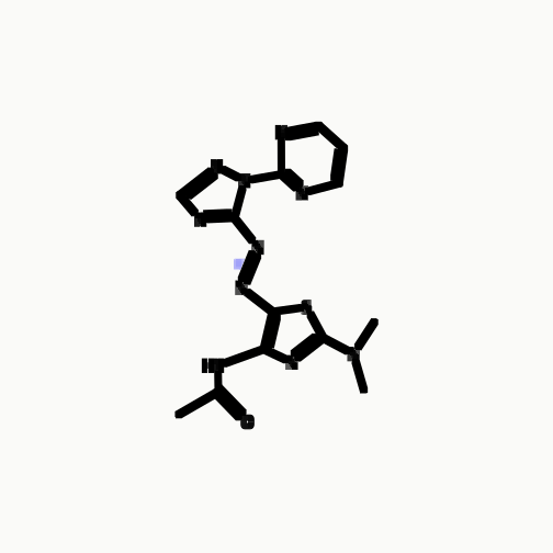 CC(=O)Nc1nc(N(C)C)sc1/N=N/c1ncnn1-c1ncccn1